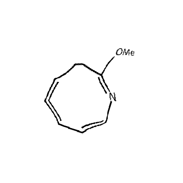 CO/C1=N/C=C\C=C=CC1